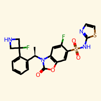 C[C@H](c1ccccc1C1(F)CNC1)n1c(=O)oc2cc(S(=O)(=O)Nc3nccs3)c(F)cc21